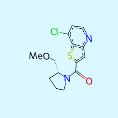 COC[C@H]1CCCN1C(=O)c1cc2nccc(Cl)c2s1